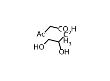 CC(=O)CC(=O)O.CC(O)CO